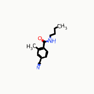 CCCCNC(=O)c1ccc(C#N)cc1C